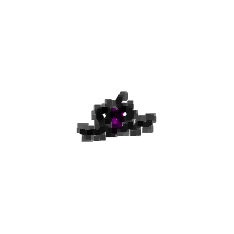 CC(C)c1ccccc1-c1ccccc1.CCCCCCPCCCCCC